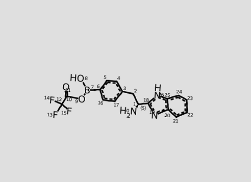 N[C@@H](Cc1ccc(B(O)OC(=O)C(F)(F)F)cc1)c1nc2ccccc2[nH]1